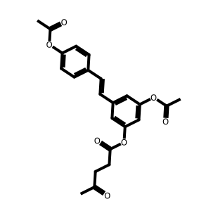 CC(=O)CCC(=O)Oc1cc(C=Cc2ccc(OC(C)=O)cc2)cc(OC(C)=O)c1